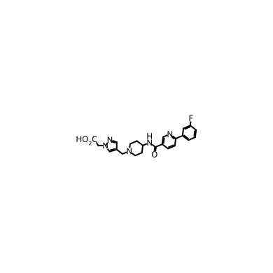 O=C(O)Cn1cc(CN2CCC(NC(=O)c3ccc(-c4cccc(F)c4)nc3)CC2)cn1